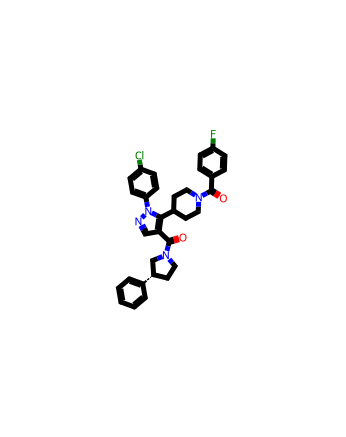 O=C(c1ccc(F)cc1)N1CCC(c2c(C(=O)N3CC[C@H](c4ccccc4)C3)cnn2-c2ccc(Cl)cc2)CC1